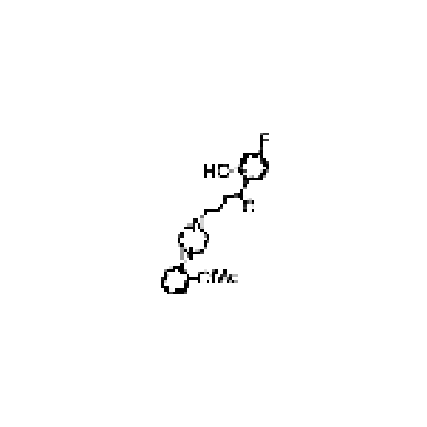 COc1ccccc1N1CCN(CCCC(=O)c2ccc(F)cc2O)CC1